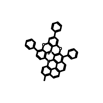 Cc1ccc2c3c1ccc1ccc4c(-c5ccccc5)c5c6c(c4c13)N2c1ccc(-c2ccccc2)c2c1P6(=S)c1c(cc(-c3ccccc3)cc1O5)O2